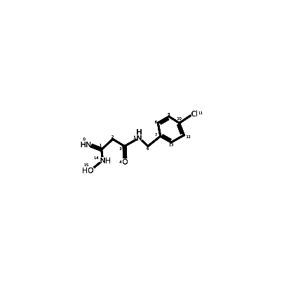 N=C(CC(=O)NCc1ccc(Cl)cc1)NO